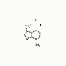 Cn1cnc2c(N)ccc(C(F)(F)F)c21